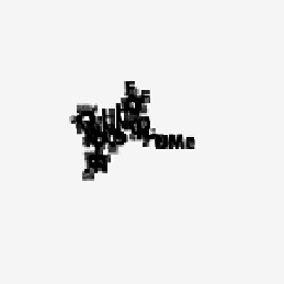 COCCN1C[C@@H](NC(=O)Nc2c(C)c(-c3cnn(C)c3)nn2-c2ccccn2)[C@H](c2ccc(F)c(F)c2)O1